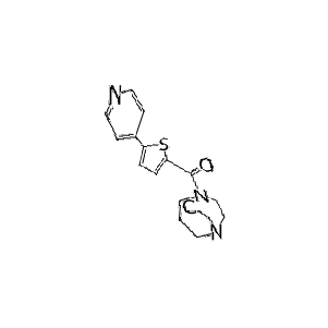 O=C(c1ccc(-c2ccncc2)s1)N1CCN2CCC1CC2